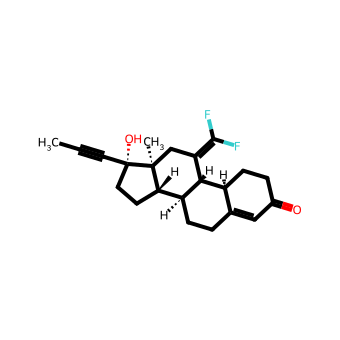 CC#C[C@]1(O)CC[C@H]2[C@@H]3CCC4=CC(=O)CC[C@@H]4[C@H]3C(=C(F)F)C[C@@]21C